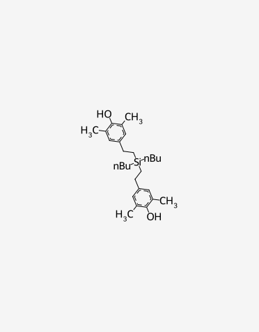 CCCC[Si](CCCC)(CCc1cc(C)c(O)c(C)c1)CCc1cc(C)c(O)c(C)c1